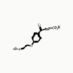 CCCCCCCCCCCCOc1ccc(C(=O)NCC(=O)O)cc1